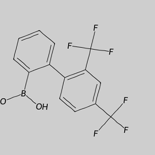 OB(O)c1ccccc1-c1ccc(C(F)(F)F)cc1C(F)(F)F